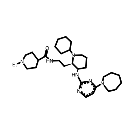 CCN1CCC(C(=O)NCC[C@@H]2[C@@H](Nc3nccc(N4CCCCCC4)n3)CCCN2C2CCCCC2)CC1